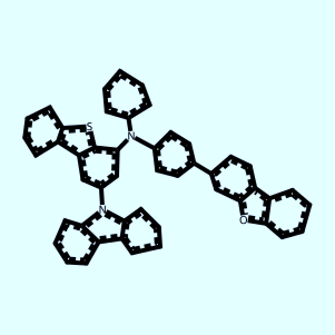 c1ccc(N(c2ccc(-c3ccc4c(c3)oc3ccccc34)cc2)c2cc(-n3c4ccccc4c4ccccc43)cc3c2sc2ccccc23)cc1